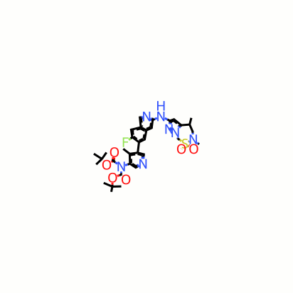 Cc1c(-c2cc3cc(Nc4cc5n(n4)CS(=O)(=O)N(C)CC5C)ncc3cc2F)cncc1N(C(=O)OC(C)(C)C)C(=O)OC(C)(C)C